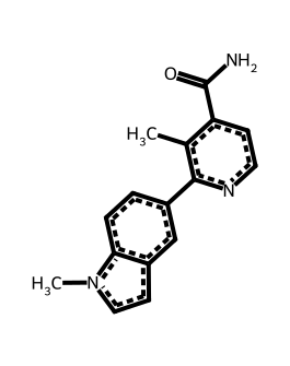 Cc1c(C(N)=O)ccnc1-c1ccc2c(ccn2C)c1